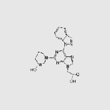 O=C(O)Cn1cnc2c(-n3ncc4ccccc43)nc(N3CCC[C@@H](O)C3)nc21